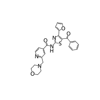 O=C(Nc1nc(-c2ccco2)c(C(=O)c2ccccc2)s1)c1ccnc(CN2CCOCC2)c1